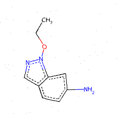 CCOn1ncc2ccc(N)cc21